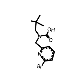 CC(C)(C)CN(Cc1cccc(Br)n1)C(=O)O